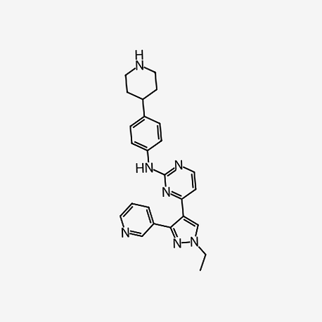 CCn1cc(-c2ccnc(Nc3ccc(C4CCNCC4)cc3)n2)c(-c2cccnc2)n1